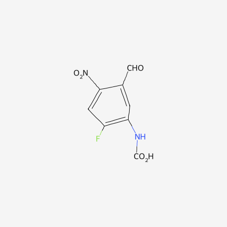 O=Cc1cc(NC(=O)O)c(F)cc1[N+](=O)[O-]